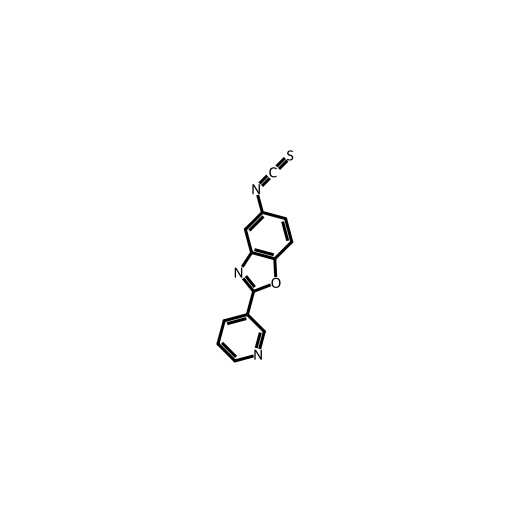 S=C=Nc1ccc2oc(-c3cccnc3)nc2c1